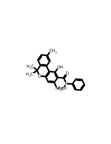 CCCCCc1cc2c(c(O)c1C(=O)N(C)c1ccccc1)-c1cc(C)ccc1C(C)(C)O2